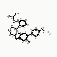 CSc1ccc(-c2cc3c(cc2F)nc2n3C(c3ccccc3OC(F)F)COC2)cc1